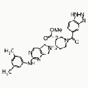 COC(=O)[C@@H]1CN(C(=O)c2ccc3[nH]nnc3c2)CC[C@@H]1N1Cc2cnc(Nc3cc(C)cc(C)c3)nc2C1